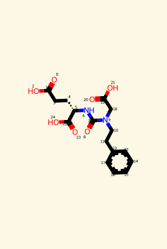 O=C(O)CC[C@H](NC(=O)N(CCc1ccccc1)CC(=O)O)C(=O)O